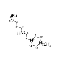 CCC(C)OCCCNCCN1CCN(C)CC1